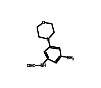 Nc1cc(NC=O)cc(N2CCOCC2)c1